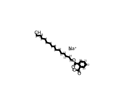 CCCCCCCCCCCCCCCCOC(=O)c1ccccc1C(=O)[O-].[Na+]